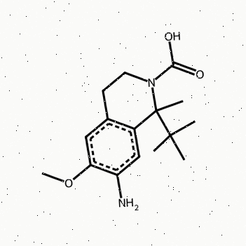 COc1cc2c(cc1N)C(C)(C(C)(C)C)N(C(=O)O)CC2